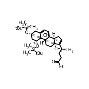 CCC(=O)CCC(C)C1=CC[C@H]2C3=CC=C4C[C@@H](O[Si](C)(C)C(C)(C)C)C[C@H](O[Si](C)(C)C(C)(C)C)[C@]4(C)[C@H]3CC[C@]12C